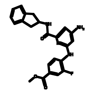 COC(=O)c1ccc(Nc2cc(N)cc(C(=O)NC3Cc4ccccc4C3)n2)c(F)c1